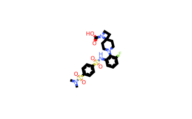 CN(C)S(=O)(=O)c1ccc(S(=O)(=O)Nc2cccc(F)c2N2CCC3(CC2)CCN3C(=O)O)cc1